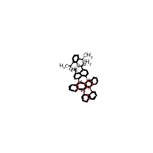 CC(C)c1cccc(C(C)C)c1N1C(=O)c2ccc(N3c4ccccc4N(c4ccccc4)c4ccccc43)c3c(N4c5ccccc5N(c5ccccc5)c5ccccc54)ccc(c23)C1=O